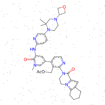 CC(=O)OCc1c(-c2cc(Nc3ccc(N4CCN(C5COC5)CC4(C)C)cn3)c(=O)n(C)c2)ccnc1N1CCn2c(cc3c2CCCC3)C1=O